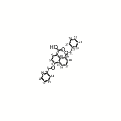 O=C(O)c1ccc(OCc2ccccc2)c2cccc(OCc3ccccc3)c12